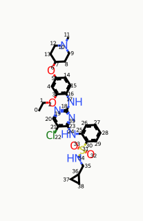 CCOc1cc(OC2CCN(C)CC2)ccc1Nc1ncc(Cl)c(Nc2ccccc2S(=O)(=O)NCC2CC2)n1